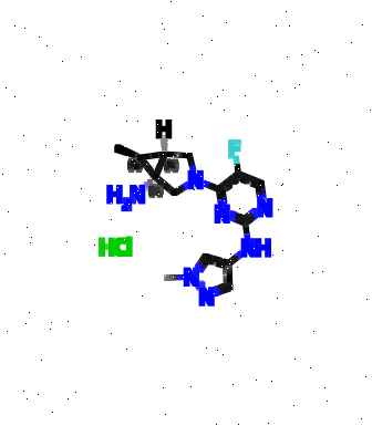 C[C@H]1[C@H]2CN(c3nc(Nc4cnn(C)c4)ncc3F)C[C@]21N.Cl